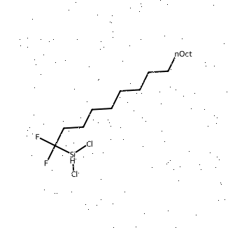 CCCCCCCCCCCCCCCCC(F)(F)[SiH](Cl)Cl